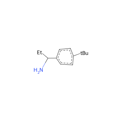 CCC(N)c1ccc(C(C)(C)C)cc1